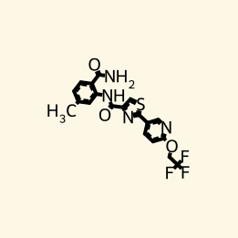 Cc1ccc(C(N)=O)c(NC(=O)c2csc(-c3ccc(OCC(F)(F)F)nc3)n2)c1